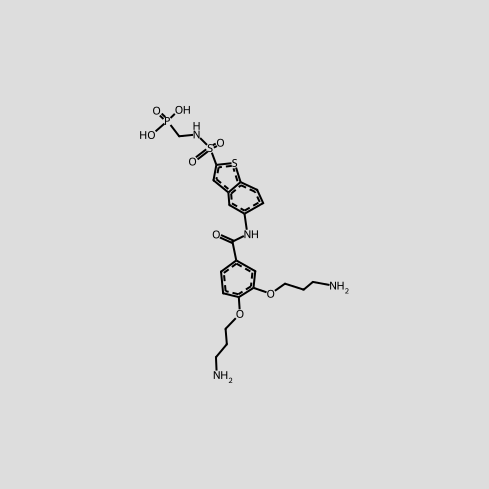 NCCCOc1ccc(C(=O)Nc2ccc3sc(S(=O)(=O)NCP(=O)(O)O)cc3c2)cc1OCCCN